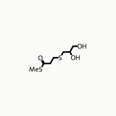 CSC(=O)CCSCC(O)CO